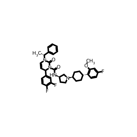 COc1cc(F)ccc1[C@H]1CC[C@H](N2CC[C@@H](NC(=O)N3C(=O)N([C@H](C)c4ccccc4)C=CC3c3ccc(F)c(F)c3)C2)CC1